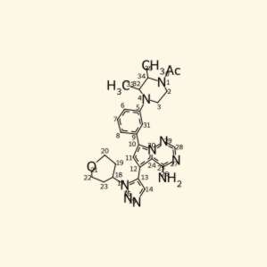 CC(=O)N1CCN(c2cccc(-c3cc(-c4cnnn4C4CCOCC4)c4c(N)ncnn34)c2)C(C)C1C